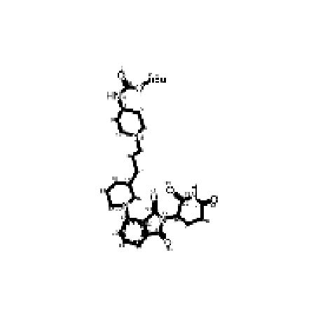 CCCCOC(=O)NC1CCN(CCCC2CCCN(c3cccc4c3C(=O)N(C3CCC(=O)NC3=O)C4=O)C2)CC1